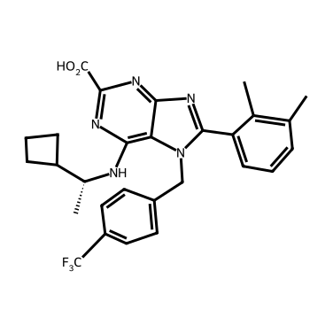 Cc1cccc(-c2nc3nc(C(=O)O)nc(N[C@H](C)C4CCC4)c3n2Cc2ccc(C(F)(F)F)cc2)c1C